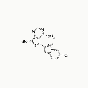 CC(C)(C)n1nc(-c2cc3ccc(Cl)cc3[nH]2)c2c(N)ncnc21